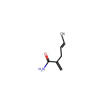 C=C(CC=CC#N)C(N)=O